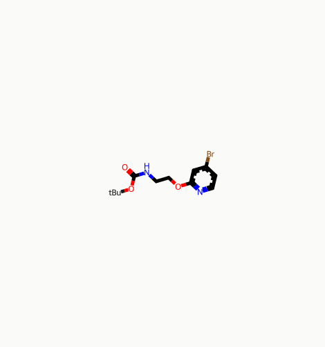 CC(C)(C)OC(=O)NCCOc1cc(Br)ccn1